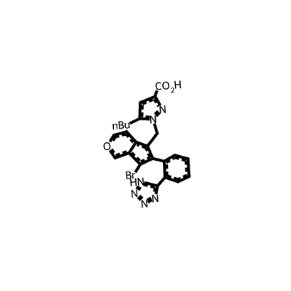 CCCCc1cc(C(=O)O)nn1Cc1c2ccocc-2c(Br)c1-c1ccccc1-c1nnn[nH]1